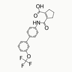 O=C(O)C1=C(C(=O)Nc2ccc(-c3cccc(OC(F)(F)F)c3)cc2)CCC1